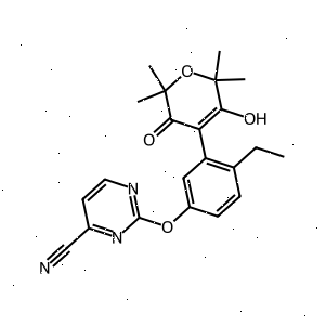 CCc1ccc(Oc2nccc(C#N)n2)cc1C1=C(O)C(C)(C)OC(C)(C)C1=O